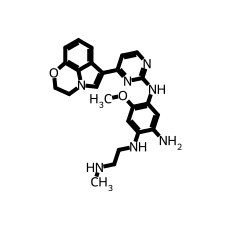 CNCCNc1cc(OC)c(Nc2nccc(-c3cn4c5c(cccc35)OCC4)n2)cc1N